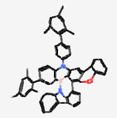 Cc1cc(C)c(-c2ccc(N3c4ccc(-c5c(C)cc(C)cc5C)cc4B4c5c3cc3c(oc6ccccc63)c5-c3cccc5c6ccccc6n4c35)cc2)c(C)c1